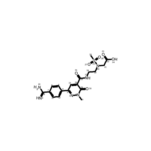 Cn1nc(-c2ccc(C(=N)N)cc2)cc(C(=O)NCCN(CC(=O)O)S(C)(=O)=O)c1=O